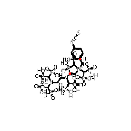 O=P(O)(O)C(N(CCN(C(P(=O)(O)O)P(=O)(O)O)C(P(=O)(O)O)P(=O)(O)O)CC[N+](Cc1ccc(N=C=S)cc1)(C(P(=O)(O)O)P(=O)(O)O)C(P(=O)(O)O)P(=O)(O)O)P(=O)(O)O